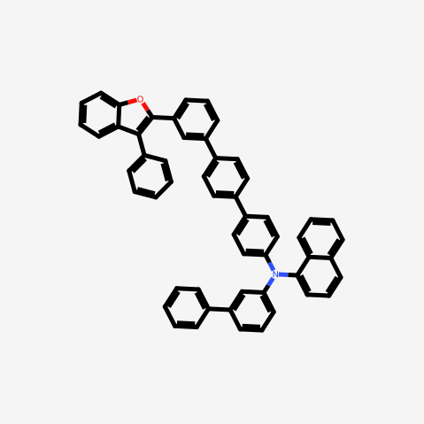 c1ccc(-c2cccc(N(c3ccc(-c4ccc(-c5cccc(-c6oc7ccccc7c6-c6ccccc6)c5)cc4)cc3)c3cccc4ccccc34)c2)cc1